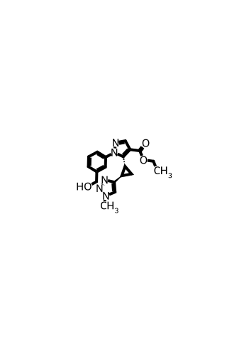 CCOC(=O)c1cnn(-c2cccc(CO)c2)c1[C@@H]1C[C@H]1c1cn(C)nn1